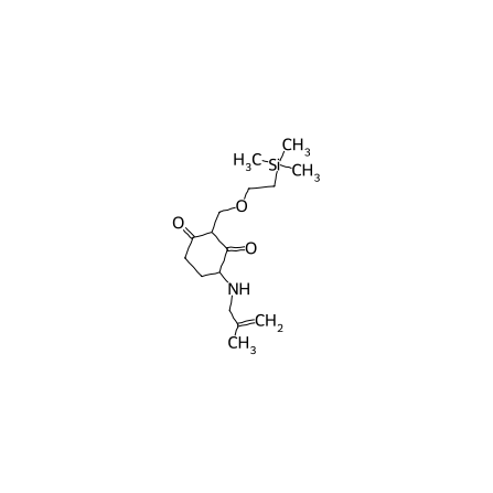 C=C(C)CNC1CCC(=O)C(COCC[Si](C)(C)C)C1=O